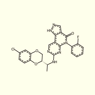 CC(Nc1ncc2c3[nH]ncc3c(=O)n(-c3ccccc3F)c2n1)[C@H]1COc2cc(Cl)ccc2O1